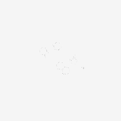 Cc1cc(-c2n[nH]cc2CN)c2cc(OCc3c(C)ccnc3Cn3cccc(C(F)(F)F)c3=O)ccc2n1